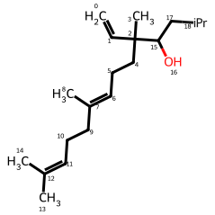 C=CC(C)(CC/C=C(\C)CCC=C(C)C)C(O)CC(C)C